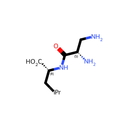 CC(C)C[C@@H](NC(=O)[C@@H](N)CN)C(=O)O